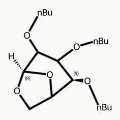 CCCCOC1C(OCCCC)[C@@H](OCCCC)C2CO[C@@H]1O2